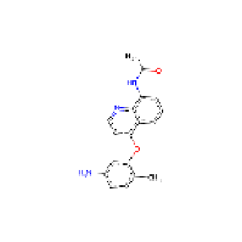 CC(=O)Nc1cccc2c(Oc3cc(N)ccc3C)ccnc12